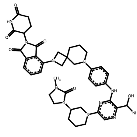 CN1CCN([C@@H]2CCCN(c3cnc(C(N)O)c(Nc4ccc(N5CCCC6(C5)CN(c5cccc7c5C(=O)N(C5CCC(=O)NC5=O)C7=O)C6)cc4)n3)C2)C1=O